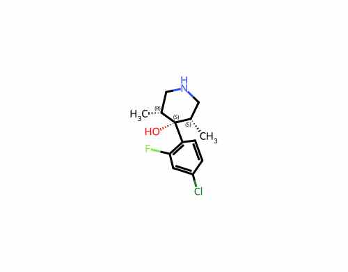 C[C@@H]1CNC[C@H](C)[C@@]1(O)c1ccc(Cl)cc1F